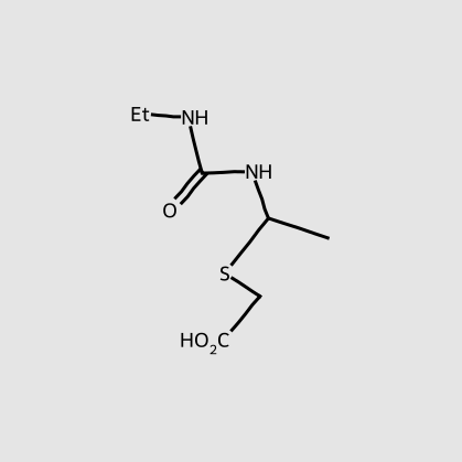 CCNC(=O)NC(C)SCC(=O)O